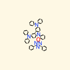 c1ccc(-c2nc(Oc3ccccc3-n3c4ccc(N(c5ccccc5)c5ccccc5)cc4c4cc(N(c5ccccc5)c5ccccc5)ccc43)nc(-c3ccccc3)n2)cc1